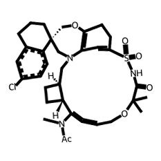 CC(=O)N(C)C1=C=CCOC(C)(C)C(=O)NS(=O)(=O)C2=CC3=C(CC2)OC[C@]2(CCCc4cc(Cl)ccc42)CN3C[C@@H]2CC[C@@H]12